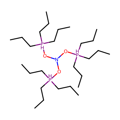 CCC[PH](CCC)(CCC)ON(O[PH](CCC)(CCC)CCC)O[PH](CCC)(CCC)CCC